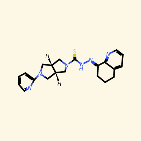 S=C(NN=C1CCCc2cccnc21)N1C[C@@H]2CN(c3ccccn3)C[C@@H]2C1